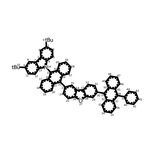 CC(C)(C)c1ccc2c(c1)c1cc(C(C)(C)C)ccc1n2-c1c2ccccc2c(-c2ccc3oc4cc(-c5c6ccccc6c(-c6ccccc6)c6ccccc56)ccc4c3c2)c2ccccc12